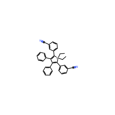 CC[Si]1(CC)C(c2cccc(C#N)c2)=C(c2ccccc2)C(c2ccccc2)=C1c1cccc(C#N)c1